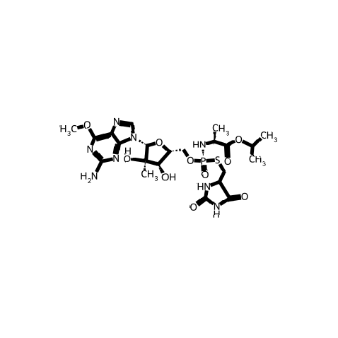 COc1nc(N)nc2c1ncn2[C@@H]1O[C@H](CO[P@@](=O)(N[C@@H](C)C(=O)OC(C)C)SCC2NC(=O)NC2=O)[C@@H](O)[C@@]1(C)O